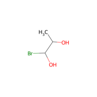 CC(O)C(O)Br